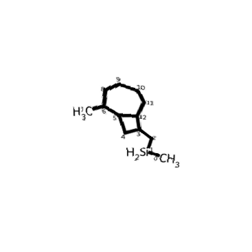 C[SiH2]CC1CC2C(C)CCCCC12